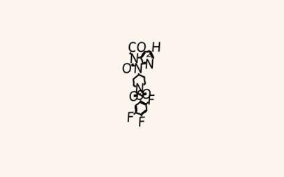 O=C(O)Cn1c(=O)n(C2CCN(S(=O)(=O)c3cc(F)c(F)cc3F)CC2)c2ncccc21